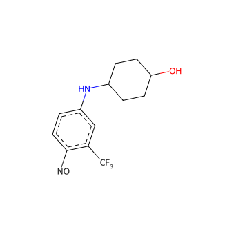 O=Nc1ccc(NC2CCC(O)CC2)cc1C(F)(F)F